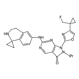 CC(C)n1c(=O)c2cnc(Nc3ccc4c(c3)CCNC43CC3)nc2n1-c1nc(C2(CF)CC2)co1